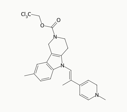 CC(=Cn1c2c(c3cc(C)ccc31)CN(C(=O)OCC(Cl)(Cl)Cl)CC2)C1=CCN(C)C=C1